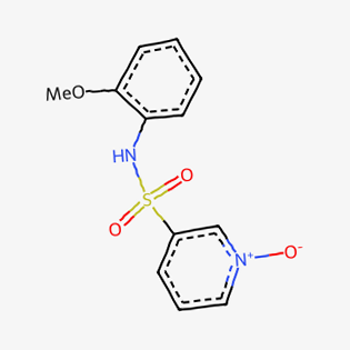 COc1ccccc1NS(=O)(=O)c1ccc[n+]([O-])c1